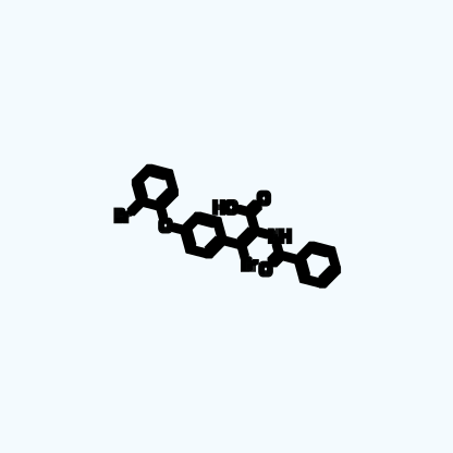 O=C(O)C(NC(=O)c1ccccc1)=C(Br)c1ccc(Oc2ccccc2Br)cc1